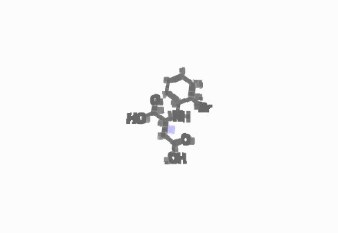 O=C(O)/C=C(\Nc1ccccc1Br)C(=O)O